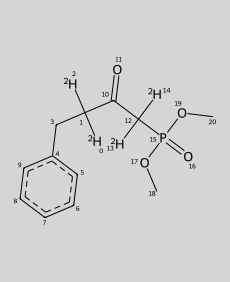 [2H]C([2H])(Cc1ccccc1)C(=O)C([2H])([2H])P(=O)(OC)OC